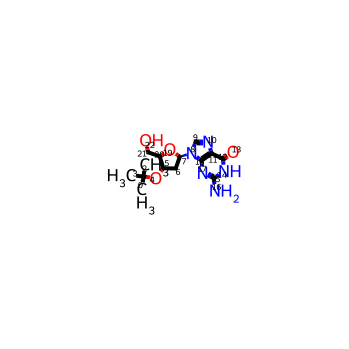 CC(C)(C)OC1C[C@H](n2cnc3c(=O)[nH]c(N)nc32)OC1CO